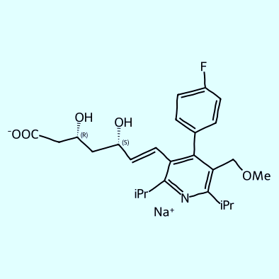 COCc1c(C(C)C)nc(C(C)C)c(C=C[C@@H](O)C[C@@H](O)CC(=O)[O-])c1-c1ccc(F)cc1.[Na+]